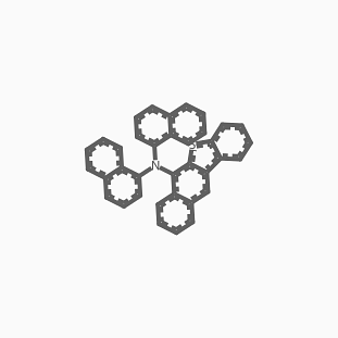 c1ccc2c(N(c3cccc4ccccc34)c3c4ccccc4cc4c3sc3ccccc34)cccc2c1